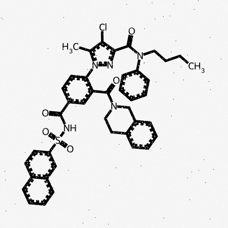 CCCCN(C(=O)c1nn(-c2ccc(C(=O)NS(=O)(=O)c3ccc4ccccc4c3)cc2C(=O)N2CCc3ccccc3C2)c(C)c1Cl)c1ccccc1